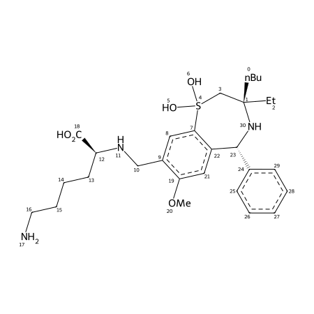 CCCC[C@]1(CC)CS(O)(O)c2cc(CN[C@@H](CCCCN)C(=O)O)c(OC)cc2[C@@H](c2ccccc2)N1